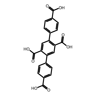 O=C(O)c1ccc(-c2cc(C(=O)O)c(-c3ccc(C(=O)O)cc3)cc2C(=O)O)cc1